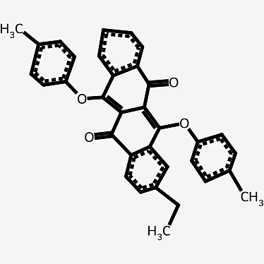 CCc1ccc2c(c1)C(Oc1ccc(C)cc1)=C1C(=O)c3ccccc3C(Oc3ccc(C)cc3)=C1C2=O